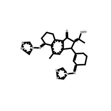 CN/C(C)=C1\C(=O)c2c(cc(C)c3c2CCC/C3=N\n2cnnc2)C1C1=C/C(=N\n2cnnc2)CCC1